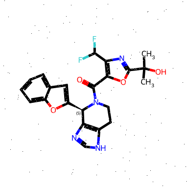 CC(C)(O)c1nc(C(F)F)c(C(=O)N2CCc3[nH]cnc3[C@H]2c2cc3ccccc3o2)o1